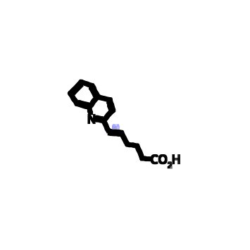 O=C(O)CCC/C=C/c1ccc2ccccc2n1